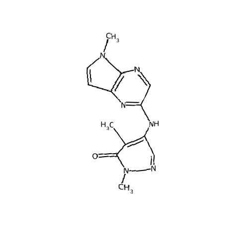 Cc1c(Nc2cnc3c(ccn3C)n2)cnn(C)c1=O